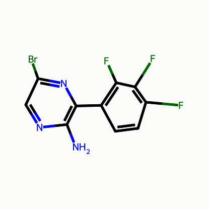 Nc1ncc(Br)nc1-c1ccc(F)c(F)c1F